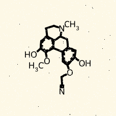 COc1c(O)cc2c3c1-c1cc(OCC#N)c(O)cc1CC3N(C)CC2